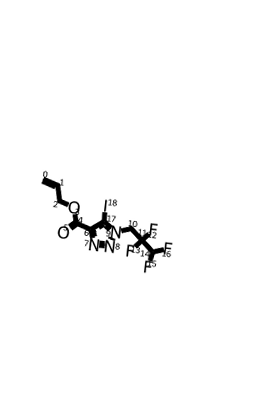 C=CCOC(=O)c1nnn(CC(F)(F)C(F)F)c1I